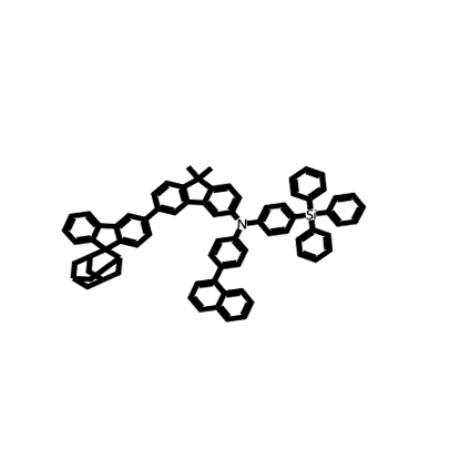 CC1(C)c2ccc(-c3ccc4c(c3)-c3ccccc3C43C4CC5CC(C4)CC3C5)cc2-c2cc(N(c3ccc(-c4cccc5ccccc45)cc3)c3ccc([Si](c4ccccc4)(c4ccccc4)c4ccccc4)cc3)ccc21